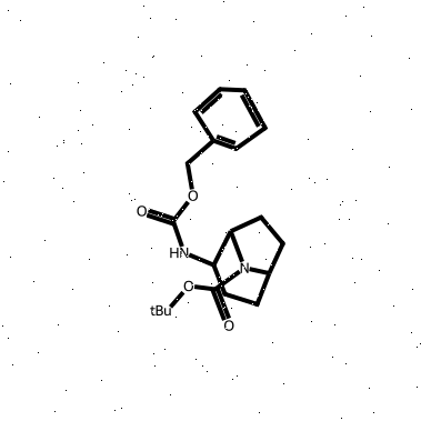 CC(C)(C)OC(=O)N1C2CCC(NC(=O)OCc3ccccc3)C1CC2